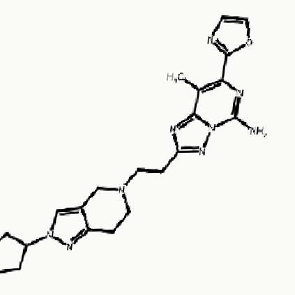 Cc1c(-c2ncco2)nc(N)n2nc(CCN3CCc4nn(C5CCCC5)cc4C3)nc12